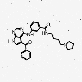 O=C(NCCCCN1CCCC1)c1cccc(Nc2ncnc3[nH]cc(C(=O)c4ccccc4)c23)c1